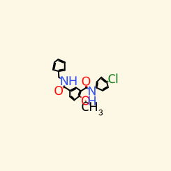 COc1ccc(C(=O)NCc2ccccc2)cc1C(=O)Nc1ccc(Cl)cc1